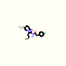 CC(C)CCc1c(NC(=O)Cc2ccc(F)cc2)nc2ccc(C(F)(F)F)cn12